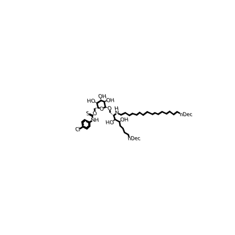 CCCCCCCCCCCCCCCCCCCCCCCCCCN[C@@H](CO[C@@H]1O[C@H](COC(=S)Nc2ccc(Cl)cc2)[C@H](O)[C@H](O)[C@H]1O)[C@H](O)[C@H](O)CCCCCCCCCCCCCC